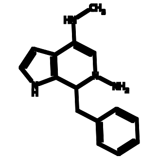 CNC1=CN(N)C(Cc2ccccc2)c2[nH]ccc21